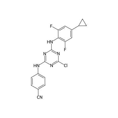 N#Cc1ccc(Nc2nc(Cl)nc(Nc3c(F)cc(C4CC4)cc3F)n2)cc1